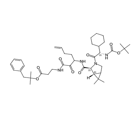 C=CCCC(NC(=O)[C@@H]1[C@@H]2C(CN1C(=O)[C@@H](NC(=O)OC(C)(C)C)C1CCCCC1)C2(C)C)C(=O)C(=O)NCCC(=O)OC(C)(C)Cc1ccccc1